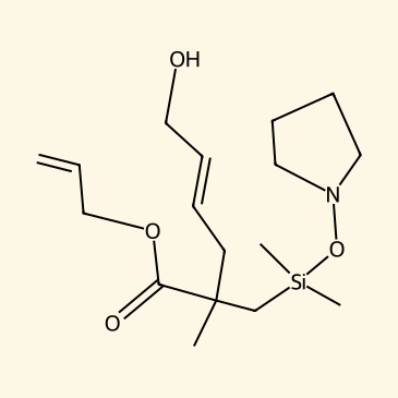 C=CCOC(=O)C(C)(CC=CCO)C[Si](C)(C)ON1CCCC1